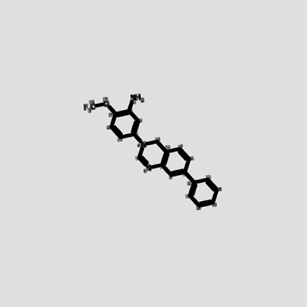 Nc1cc(N2C=Nc3cc(-c4ccccc4)ccc3C2)ccc1OC(F)(F)F